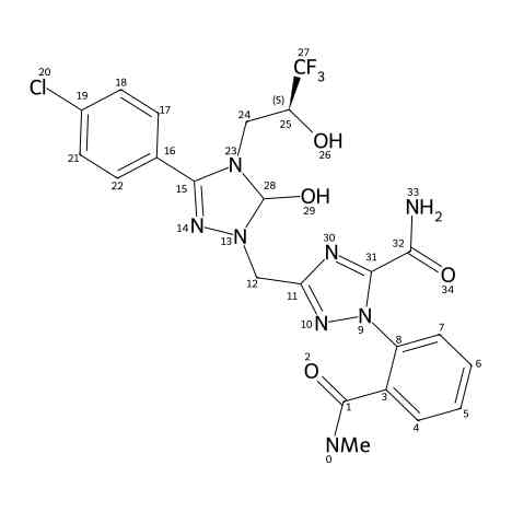 CNC(=O)c1ccccc1-n1nc(CN2N=C(c3ccc(Cl)cc3)N(C[C@H](O)C(F)(F)F)C2O)nc1C(N)=O